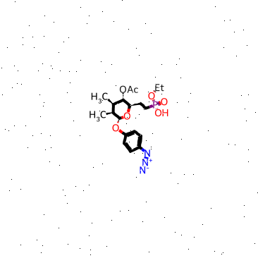 CCOP(=O)(O)CC[C@H]1O[C@H](Oc2ccc(N=[N+]=[N-])cc2)[C@@H](C)[C@@H](C)[C@@H]1OC(C)=O